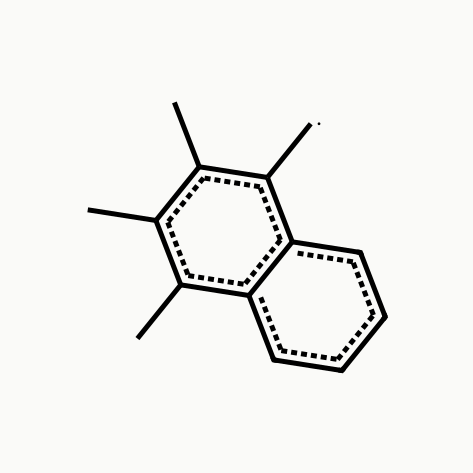 [CH2]c1c(C)c(C)c(C)c2ccccc12